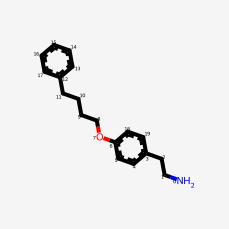 NCCc1ccc(OCCCCc2ccccc2)cc1